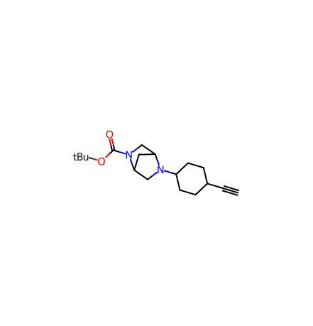 C#CC1CCC(N2CC3CC2CN3C(=O)OC(C)(C)C)CC1